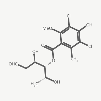 COc1c(Cl)c(O)c(Cl)c(C)c1C(=O)O[C@@H]([C@H](O)CC=O)[C@@H](C)O